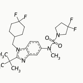 CN(c1ccc2c(c1)nc(C(C)(C)C)n2CC1CCC(F)(F)CC1)S(=O)(=O)N1CCC(F)(F)C1